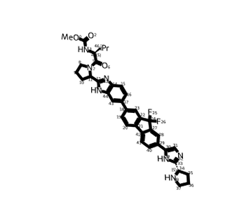 COC(=O)N[C@H](C(=O)N1CCCC1c1nc2ccc(-c3ccc4c(c3)C(F)(F)c3cc(-c5cnc([C@@H]6CCCN6)[nH]5)ccc3-4)cc2[nH]1)C(C)C